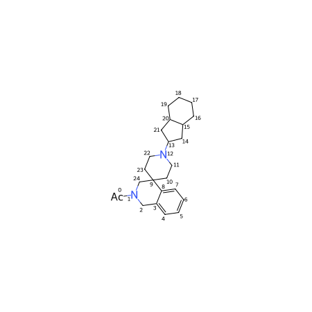 CC(=O)N1Cc2ccccc2C2(CCN(C3CC4CCCCC4C3)CC2)C1